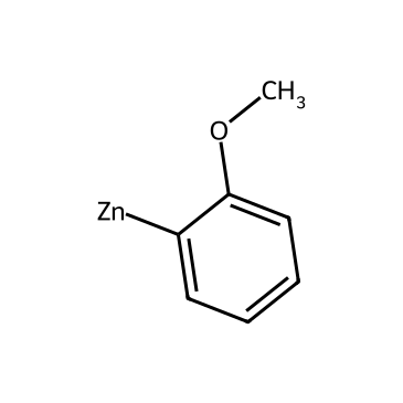 COc1cccc[c]1[Zn]